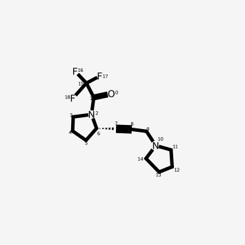 O=C(N1CCC[C@H]1C#CCN1CCCC1)C(F)(F)F